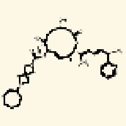 C/C(=C\C=C\[C@H](C)c1ccccn1)[C@H]1OC(=O)C[C@@H](O)CC[C@](C)(O)[C@H](OC(=O)N2CC3(C2)CN(C2CCCCCC2)C3)/C=C/[C@@H]1C